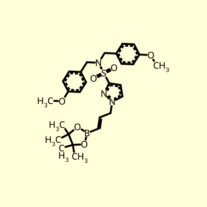 COc1ccc(CN(Cc2ccc(OC)cc2)S(=O)(=O)c2ccn(CC=CB3OC(C)(C)C(C)(C)O3)n2)cc1